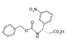 CCOC(=O)C[C@H](NC(=O)OCc1ccccc1)c1cccc([N+](=O)[O-])c1